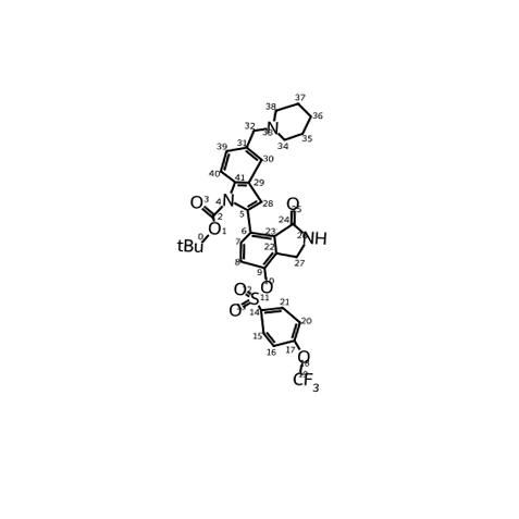 CC(C)(C)OC(=O)n1c(-c2ccc(OS(=O)(=O)c3ccc(OC(F)(F)F)cc3)c3c2C(=O)NC3)cc2cc(CN3CCCCC3)ccc21